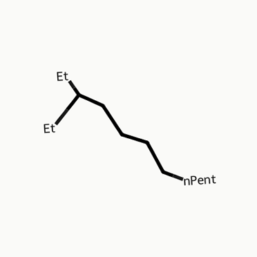 [CH2]CCCCCCCCC(CC)CC